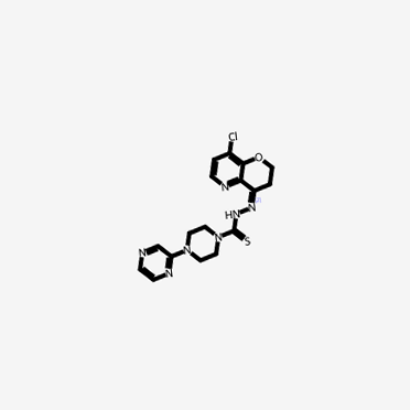 S=C(N/N=C1/CCOc2c(Cl)ccnc21)N1CCN(c2cnccn2)CC1